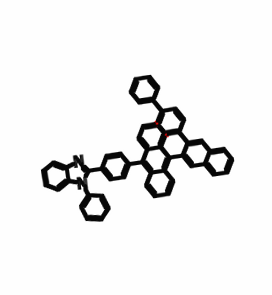 c1ccc(-c2ccc(-c3cc4ccccc4cc3-c3c4ccccc4c(-c4ccc(-c5nc6ccccc6n5-c5ccccc5)cc4)c4ccccc34)cc2)cc1